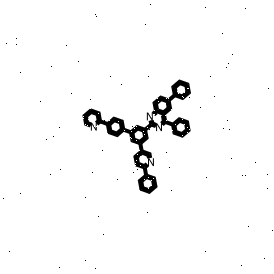 c1ccc(-c2ccc3nc(-c4cc(-c5ccc(-c6ccccn6)cc5)cc(-c5ccc(-c6ccccc6)nc5)c4)nc(-c4ccccc4)c3c2)cc1